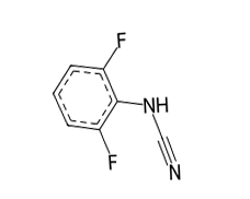 N#CNc1c(F)cccc1F